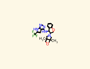 CC12COCC1(C)CN(C1COc3ccccc3C1Nc1ncnc3[nH]c(C(F)(F)F)cc13)C2